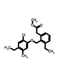 CCc1cc(Cl)c(OCc2c(CC)cccc2CC(=O)OC)cc1C